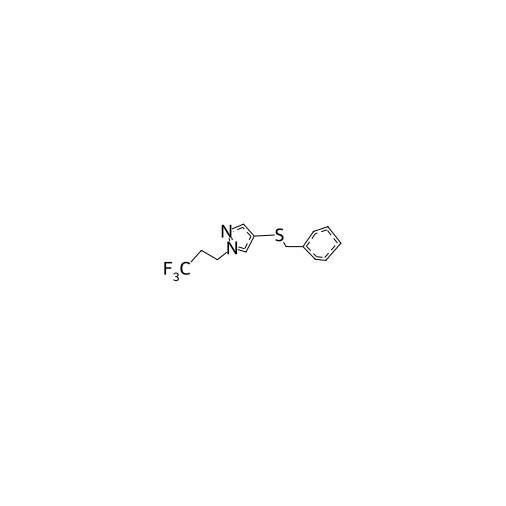 FC(F)(F)CCn1cc(SCc2ccccc2)cn1